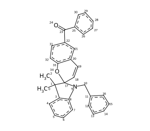 CC1(C)c2ccccc2N(Cc2ccccc2)C12C=Cc1cc(C(=O)c3ccccc3)ccc1O2